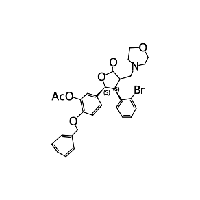 CC(=O)Oc1cc([C@H]2OC(=O)C(CN3CCOCC3)[C@H]2c2ccccc2Br)ccc1OCc1ccccc1